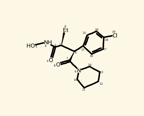 CC[C@H](C(=O)NO)[C@H](C(=O)N1CCCCC1)c1ccc(Cl)cc1